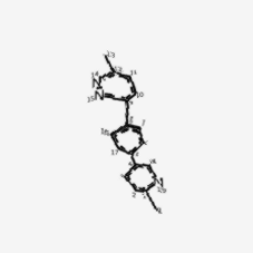 Cc1ccc(-c2ccc(-c3ccc(C)nn3)cc2)cn1